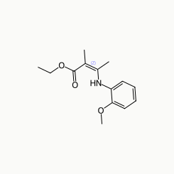 CCOC(=O)/C(C)=C(/C)Nc1ccccc1OC